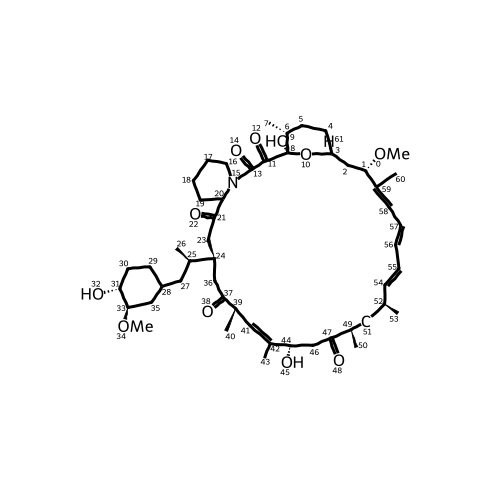 CO[C@H]1C[C@@H]2CC[C@@H](C)[C@@](O)(O2)C(=O)C(=O)N2CCCCC2C(=O)C[C@H]([C@H](C)CC2CC[C@@H](O)[C@H](OC)C2)CC(=O)[C@H](C)/C=C(\C)[C@@H](O)CC(=O)[C@H](C)C[C@H](C)/C=C/C=C/C=C/1C